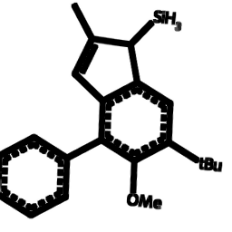 COc1c(C(C)(C)C)cc2c(c1-c1ccccc1)C=C(C)C2[SiH3]